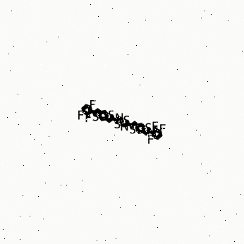 Fc1ccc(F)c(-c2cc3cc4sc(-c5nc6sc(-c7cc8cc9sc(-c%10c(F)ccc(F)c%10F)cc9cc8s7)nc6s5)cc4cc3s2)c1F